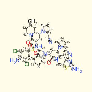 C=C1CCN(C(=O)C(CCn2cccc2C#N)NS(=O)(=O)c2cc(Cl)c(N)c(Cl)c2-c2cccc3c2ccn3C(CCn2cccc2C#N)C(=O)N2CCc3nc(N)sc3C2)CC1